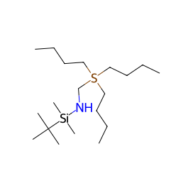 CCCCS(CCCC)(CCCC)CN[Si](C)(C)C(C)(C)C